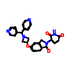 O=C1CCC(N2Cc3cc(OC4CN(C(c5ccncc5)c5ccncc5)C4)ccc3C2=O)C(=O)N1